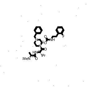 CN[C@@H](C)C(=O)N[C@H](C(=O)N1CCN(Cc2ccccc2)C[C@@H]1OC(=O)NCCc1ccccc1F)C(C)C